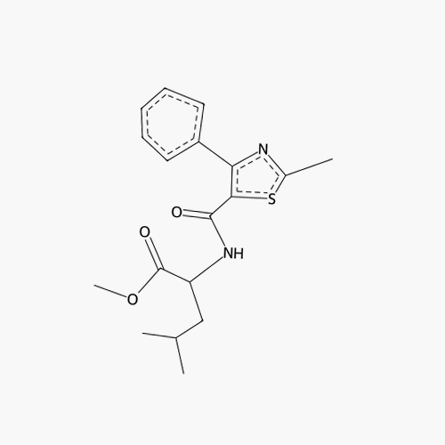 COC(=O)C(CC(C)C)NC(=O)c1sc(C)nc1-c1ccccc1